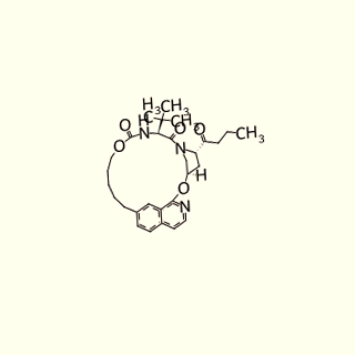 CCCC(=O)[C@@H]1C[C@@H]2CN1C(=O)[C@H](C(C)(C)C)NC(=O)OCCCCCc1ccc3ccnc(c3c1)O2